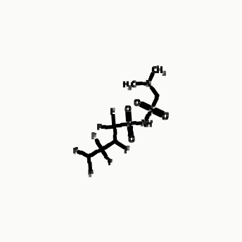 CN(C)CS(=O)(=O)NS(=O)(=O)C(F)(F)C(F)C(F)(F)C(F)F